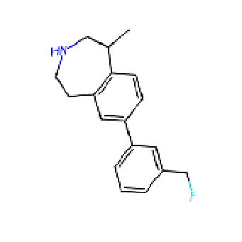 CC1CNCCc2cc(-c3cccc(CF)c3)ccc21